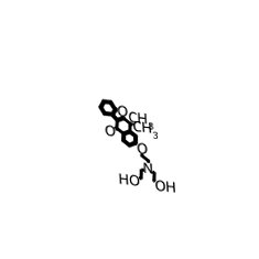 CC1(C)c2cc(OCCN(CCO)CCO)ccc2C(=O)c2c1oc1ccccc21